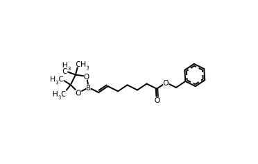 CC1(C)OB(/C=C/CCCCC(=O)OCc2ccccc2)OC1(C)C